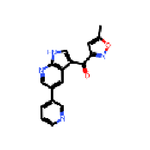 Cc1cc(C(=O)c2c[nH]c3ncc(-c4cccnc4)cc23)no1